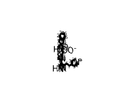 C[n+]1ccc(CCc2n[nH]cc2-c2csc(CNC(=O)C3(CC(=O)[O-])Cc4ccccc4C3)n2)cc1